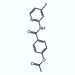 CC(=O)Oc1ccc(C(=O)Nc2cc(F)ccn2)cc1